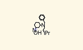 CC(C)CCN(Cc1ccccc1)C1CCC/C(=N/O)C1